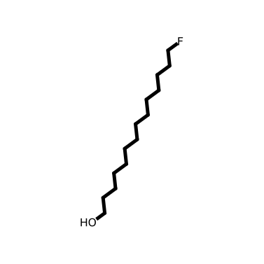 OCCCCCCCCCCCCCCF